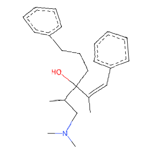 CC(=Cc1ccccc1)C(O)(CCCc1ccccc1)C(C)CN(C)C